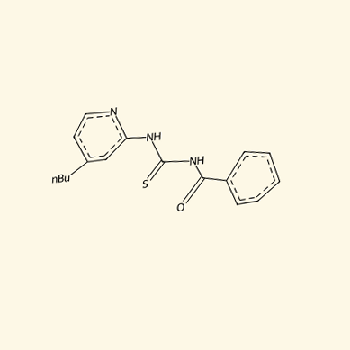 CCCCc1ccnc(NC(=S)NC(=O)c2ccccc2)c1